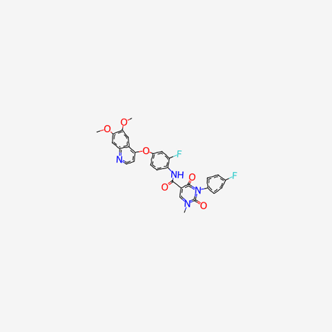 COc1cc2nccc(Oc3ccc(NC(=O)c4cn(C)c(=O)n(-c5ccc(F)cc5)c4=O)c(F)c3)c2cc1OC